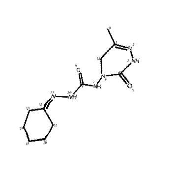 CC1=NNC(=O)N(NC(=O)NN=C2CCCCC2)C1